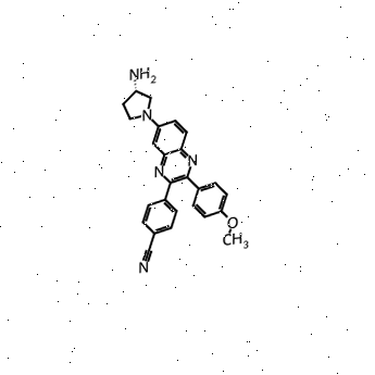 COc1ccc(-c2nc3ccc(N4CC[C@H](N)C4)cc3nc2-c2ccc(C#N)cc2)cc1